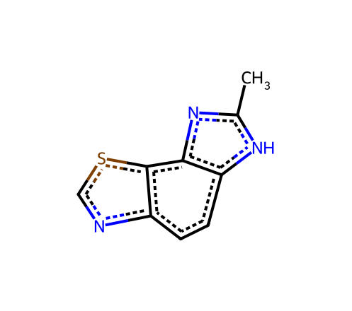 Cc1nc2c(ccc3ncsc32)[nH]1